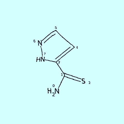 NC(=S)c1ccn[nH]1